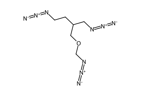 [N-]=[N+]=NCCC(CN=[N+]=[N-])COCN=[N+]=[N-]